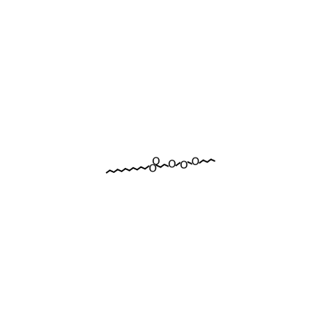 CCCCCCCCCCCCOC(=O)CCCOCCOCCOCCCCC